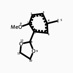 COc1ccc(I)cc1C1OCCO1